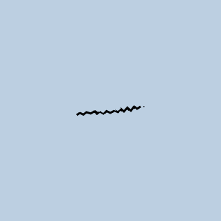 [CH2]CCCCCCCCCCCCC=CCCCCC